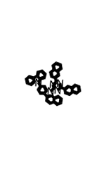 c1ccc2cc(-c3nc(-c4ccc5ccccc5c4)nc(-n4c5cc(-n6c7ccccc7c7ccccc76)ccc5c5ccc6ccccc6c54)n3)ccc2c1